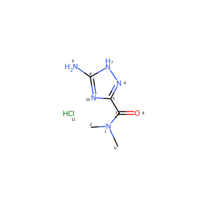 CN(C)C(=O)c1n[nH]c(N)n1.Cl